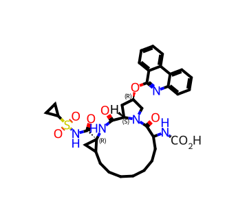 O=C(O)NC1CCCCCCCC2C[C@@]2(C(=O)NS(=O)(=O)C2CC2)NC(=O)[C@@H]2C[C@@H](Oc3nc4ccccc4c4ccccc34)CN2C1=O